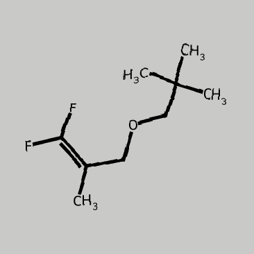 CC(COCC(C)(C)C)=C(F)F